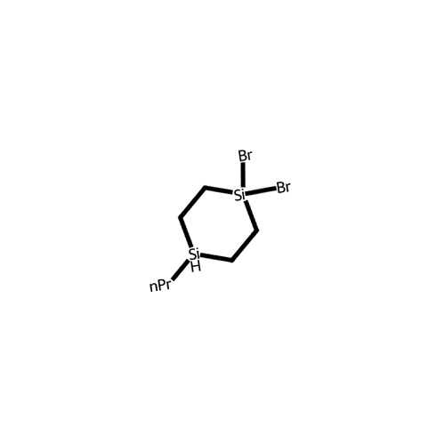 CCC[SiH]1CC[Si](Br)(Br)CC1